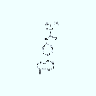 CCC(CC)C(=O)Nc1ccc(-c2cccc3[nH]ccc23)cc1